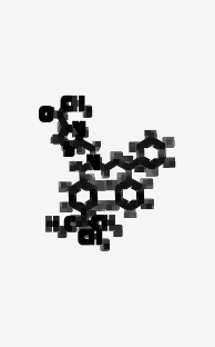 CC(=O)c1csc(CN(CCC(c2ccccc2)c2ccccc2)Cc2ccc(C(C)(C)C)cc2)n1